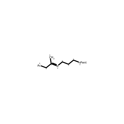 CCCCCCCC/N=C(\C)CC(C)=O